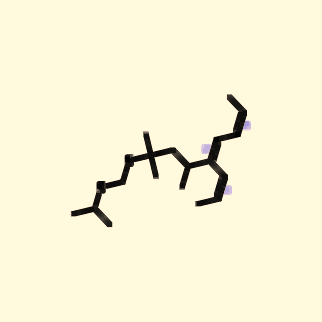 C\C=C/C=C(\C=C/C)C(C)CC(C)(C)SCSC(C)C